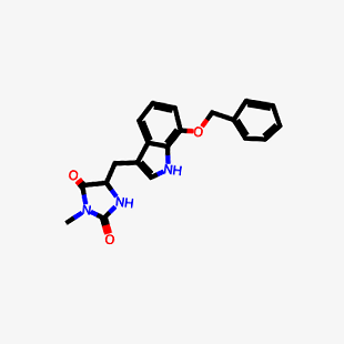 CN1C(=O)NC(Cc2c[nH]c3c(OCc4ccccc4)cccc23)C1=O